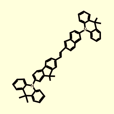 CC1(C)c2cc(/C=C/c3ccc4cc(N5c6ccccc6C(C)(C)c6ccccc65)ccc4c3)ccc2-c2ccc(N3c4ccccc4C(C)(C)c4ccccc43)cc21